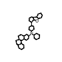 c1ccc(N(c2ccc(-c3cccc4c3oc3ccccc34)cc2)c2ccc3c(ccc4ccc5ccccc5c43)c2)cc1